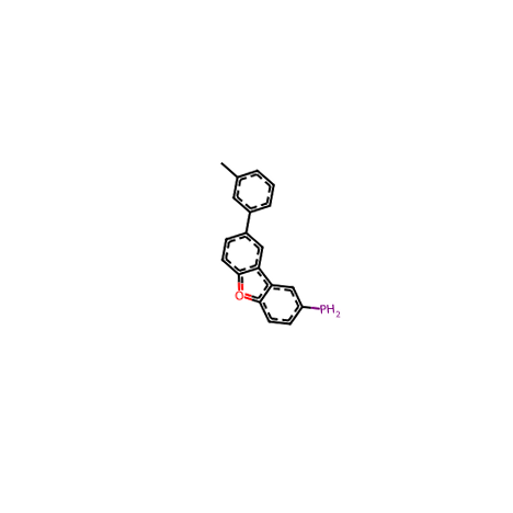 Cc1cccc(-c2ccc3oc4ccc(P)cc4c3c2)c1